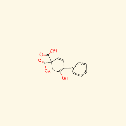 O=C(O)C1(C(=O)O)C=CC(c2ccccc2)=C(O)C1